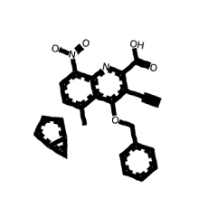 C#Cc1c(C(=O)O)nc2c([N+](=O)[O-])ccc(C)c2c1OCc1ccccc1.c1cc2cc-2c1